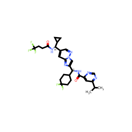 CC(C)c1cc(C(=O)N[C@H](c2cn3ncc([C@H](NC(=O)CCC(F)(F)F)C4CC4)cc3n2)C2CCC(F)(F)CC2)ncn1